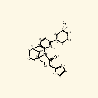 O=C(Nc1nccs1)N1c2nc(N3CCCC(C(F)(F)F)C3)ccc2N2CCC[C@@H]1C2